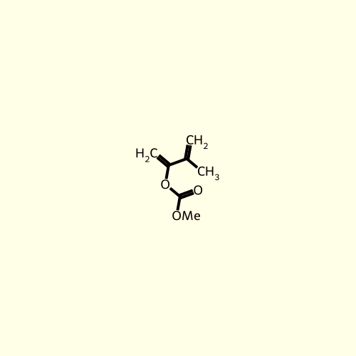 C=C(C)C(=C)OC(=O)OC